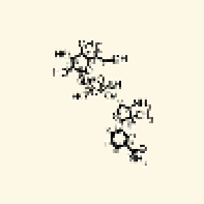 C[C@@]1(F)[C@H](N)[C@@H](COP(=O)(S)OP(=O)(O)OC2OC([C@@H](F)CO)C(O)C(O)C2O)O[C@H]1c1cccc(C(N)=O)c1